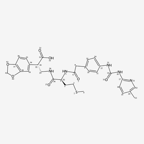 CSCC[C@H](NC(=O)Cc1ccc(NC(=O)Nc2ccc(C)cn2)cc1)C(=O)NC[C@@H](C(=O)O)c1ccc2c(c1)OCO2